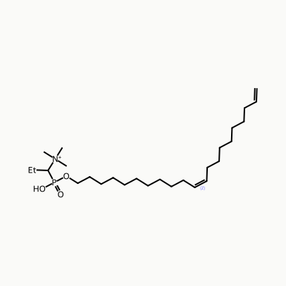 C=CCCCCCCC/C=C\CCCCCCCCCCOP(=O)(O)C(CC)[N+](C)(C)C